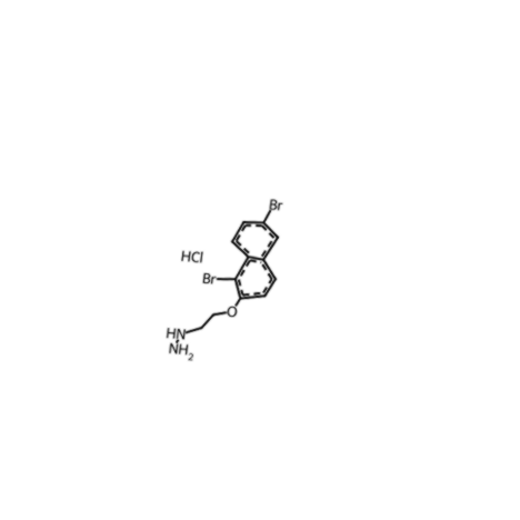 Cl.NNCCOc1ccc2cc(Br)ccc2c1Br